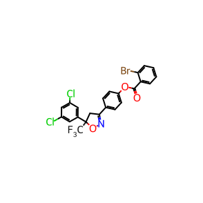 O=C(Oc1ccc(C2=NOC(c3cc(Cl)cc(Cl)c3)(C(F)(F)F)C2)cc1)c1ccccc1Br